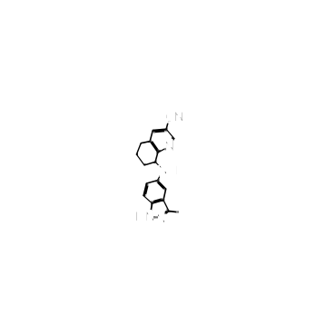 N#Cc1cnc2c(c1)CCCC2Nc1ccc2[nH]nc(C(F)(F)F)c2c1